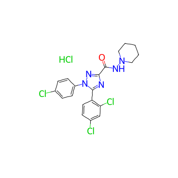 Cl.O=C(NN1CCCCC1)c1nc(-c2ccc(Cl)cc2Cl)n(-c2ccc(Cl)cc2)n1